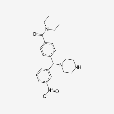 CCN(CC)C(=O)c1ccc(C(c2cccc([N+](=O)[O-])c2)N2CCNCC2)cc1